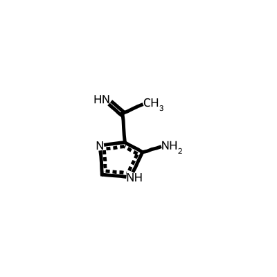 CC(=N)c1nc[nH]c1N